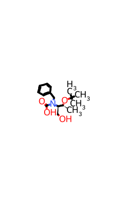 C[C@@H](OC(C)(C)C)[C@@H](CO)N(Cc1ccccc1)C(=O)O